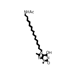 CC(=O)NCCCCCCCCCCCCCCCCn1c(C)nc2c1c(O)nc(=O)n2C